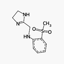 CS(=O)(=O)c1ccccc1NCC1=NCCN1